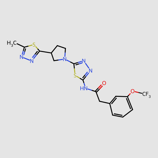 Cc1nnc(C2CCN(c3nnc(NC(=O)Cc4cccc(OC(F)(F)F)c4)s3)C2)s1